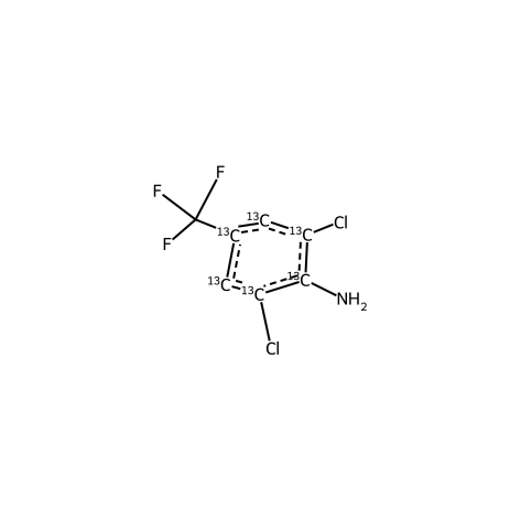 N[13c]1[13c](Cl)[13cH][13c](C(F)(F)F)[13cH][13c]1Cl